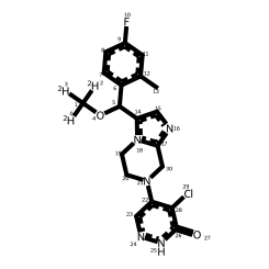 [2H]C([2H])([2H])OC(c1ccc(F)cc1C)c1cnc2n1CCN(c1cn[nH]c(=O)c1Cl)C2